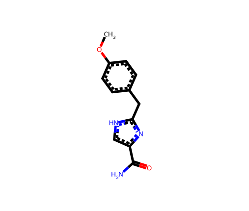 COc1ccc(Cc2nc(C(N)=O)c[nH]2)cc1